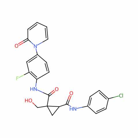 O=C(Nc1ccc(Cl)cc1)C1CC1(CO)C(=O)Nc1ccc(-n2ccccc2=O)cc1F